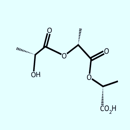 C[C@@H](O)C(=O)O[C@H](C)C(=O)O[C@H](C)C(=O)O